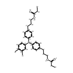 CCC(=O)OCCCc1ccc(N(c2ccc(CCCOC(=O)CC)cc2)c2ccc(C)c(C)c2)cc1